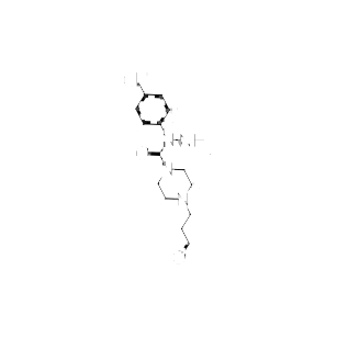 NN(C(=O)N1CCN(CCC=O)CC1)c1ccc(Cl)cc1